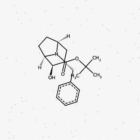 CC(C)(C)OC(=O)N1[C@H]2CC[C@@H]1[C@H](O)[C@@H](Cc1ccccc1)C2